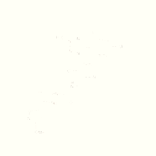 COc1cc(C(=O)NNC(=O)NCc2ncc(-c3cc(Cl)cc(F)c3-c3nnn(C)n3)cc2Cl)on1